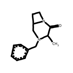 CC1C(=O)N2CCC2CN1Cc1ccccc1